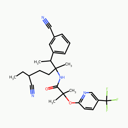 CCC(C#N)CCC(C)(NC(=O)C(C)(C)Oc1ccc(C(F)(F)F)cn1)C(C)c1cccc(C#N)c1